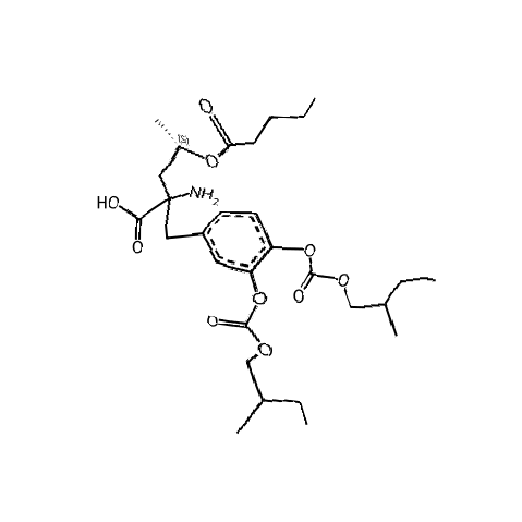 CCCCC(=O)O[C@@H](C)CC(N)(Cc1ccc(OC(=O)OCC(C)CC)c(OC(=O)OCC(C)CC)c1)C(=O)O